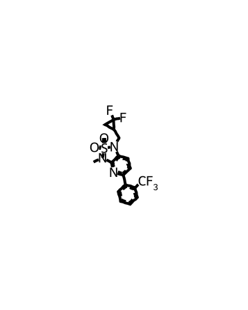 CN1c2nc(-c3ccccc3C(F)(F)F)ccc2N(CC2CC2(F)F)S1(=O)=O